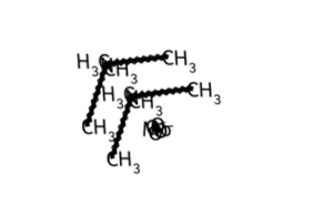 CCCCCCCCCCCCCCCCCC[N+](C)(C)CCCCCCCCCCCCCCCCCC.CCCCCCCCCCCCCCCCCC[N+](C)(C)CCCCCCCCCCCCCCCCCC.[O]=[Mo](=[O])([O-])[O-]